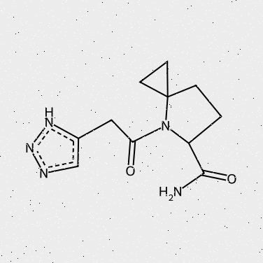 NC(=O)C1CCC2(CC2)N1C(=O)Cc1cnn[nH]1